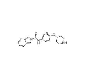 O=C(Nc1ccc(OC2CCNCC2)nc1)n1cc2ccccc2c1